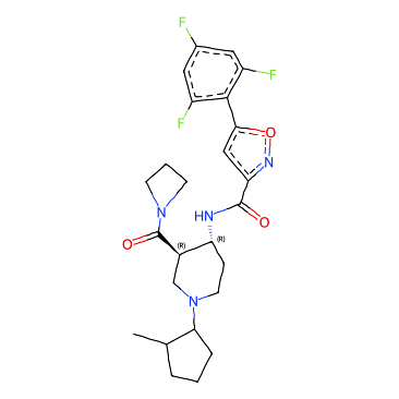 CC1CCCC1N1CC[C@@H](NC(=O)c2cc(-c3c(F)cc(F)cc3F)on2)[C@H](C(=O)N2CCC2)C1